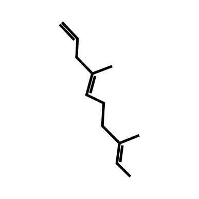 C=CC/C(C)=C/CC/C(C)=C/C